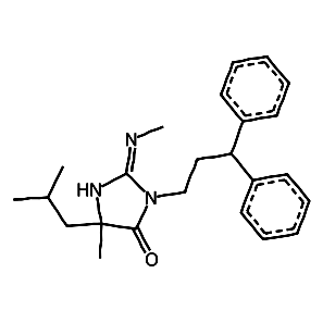 C/N=C1/NC(C)(CC(C)C)C(=O)N1CCC(c1ccccc1)c1ccccc1